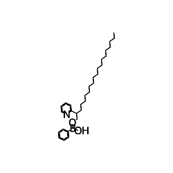 CCCCCCCCCCCCCCCCCCC(COB(O)c1ccccc1)c1ccccn1